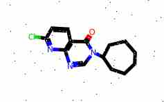 O=c1c2ccc(Cl)nc2ncn1C1CCCCCC1